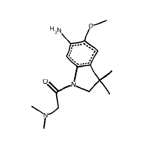 COc1cc2c(cc1N)N(C(=O)CN(C)C)CC2(C)C